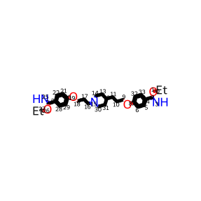 CCOC(=N)c1ccc(OCCCC2CCN(CCCOc3ccc(C(=N)OCC)cc3)CC2)cc1